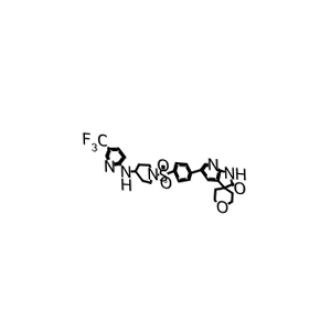 O=C1Nc2ncc(-c3ccc(S(=O)(=O)N4CCC(Nc5ccc(C(F)(F)F)cn5)CC4)cc3)cc2C12CCOCC2